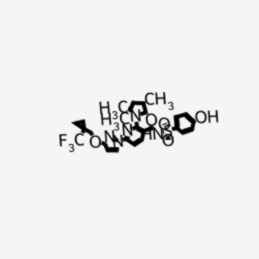 C[C@@H]1CN(c2nc(-n3ccc(OCC4(C(F)(F)F)CC4)n3)ccc2C(=O)NS(=O)(=O)c2ccc(O)cc2)C(C)(C)C1